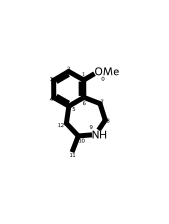 COc1cccc2c1CCNC(C)C2